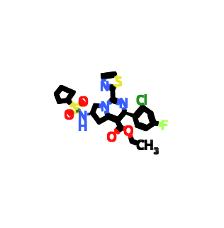 CCOC(=O)C1=C2C[C@H](NS(=O)(=O)C3CCCC3)CN2C(c2nccs2)=N[C@H]1c1ccc(F)cc1Cl